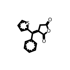 O=C1CC(=C(c2ccccc2)c2cccs2)C(=O)O1